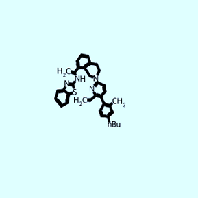 C=Cc1nc(N2CCc3cccc(C(=C)Nc4nc5ccccc5s4)c3C2)ccc1-c1ccc(CCCC)cc1C